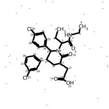 CCNC(=O)C(CC)N1C(=O)C(CC(=O)O)C[C@H](c2cccc(Cl)c2)C1c1ccc(Cl)cc1